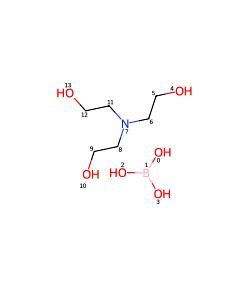 OB(O)O.OCCN(CCO)CCO